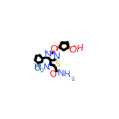 NC(=O)c1sc2nc(OC3CCC(O)C3)nc(-c3cccc(Cl)c3)c2c1N